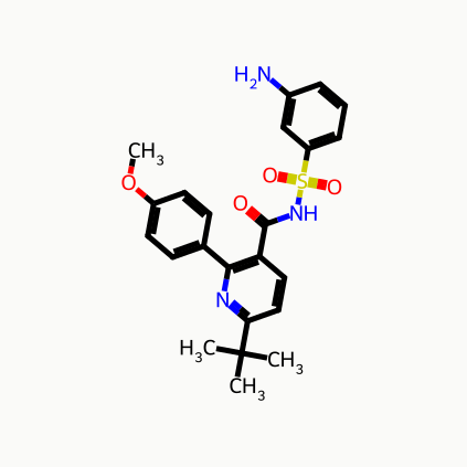 COc1ccc(-c2nc(C(C)(C)C)ccc2C(=O)NS(=O)(=O)c2cccc(N)c2)cc1